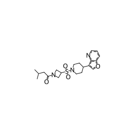 CC(C)CC(=O)N1CC(S(=O)(=O)N2CCC(c3coc4cccnc34)CC2)C1